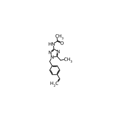 C=Cc1ccc(Cn2nc(NC(C)=O)nc2CC)cc1